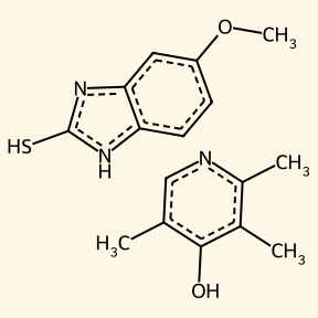 COc1ccc2[nH]c(S)nc2c1.Cc1cnc(C)c(C)c1O